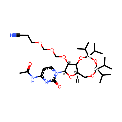 CC(=O)Nc1ccn([C@@H]2O[C@@H]3CO[Si](C(C)C)(C(C)C)O[Si](C(C)C)(C(C)C)OC3[C@@H]2OCOCOCCC#N)c(=O)n1